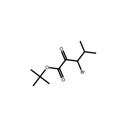 CC(C)C(Br)C(=O)C(=O)OC(C)(C)C